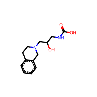 O=C(O)NCC(O)CN1CCc2ccccc2C1